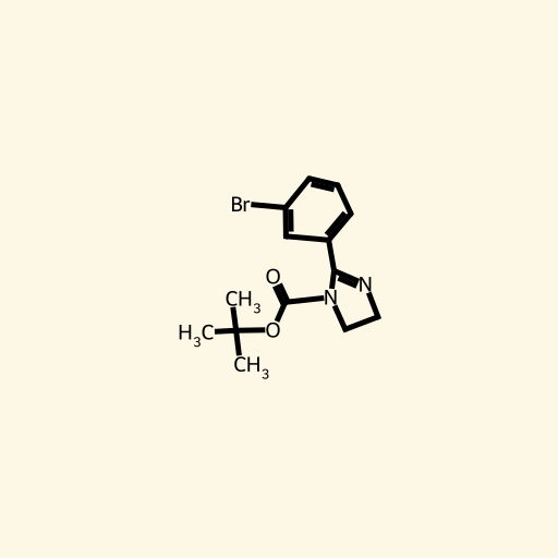 CC(C)(C)OC(=O)N1CCN=C1c1cccc(Br)c1